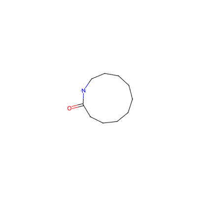 O=C1CCCCCCCCC[N]1